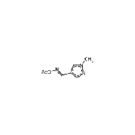 CC(=O)ON=Cc1cnn(C)c1